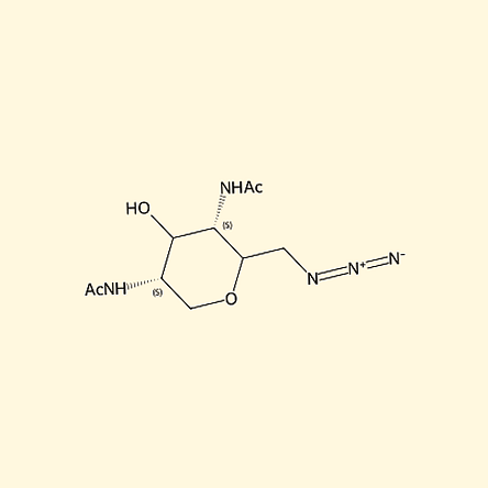 CC(=O)N[C@@H]1C(CN=[N+]=[N-])OC[C@H](NC(C)=O)C1O